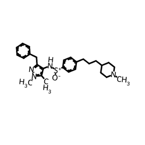 Cc1c(N[S+]([O-])c2ccc(CCCC3CCN(C)CC3)cc2)c(Cc2ccccc2)nn1C